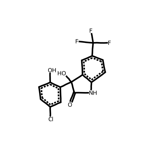 O=C1Nc2ccc(C(F)(F)F)cc2C1(O)c1cc(Cl)ccc1O